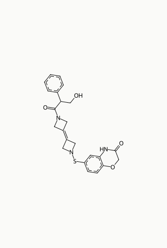 O=C1COc2ccc(SN3CC(=C4CN(C(=O)C(CO)c5ccccc5)C4)C3)cc2N1